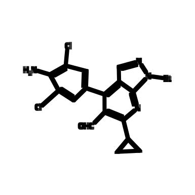 CCn1ncc2c(-c3cc(Cl)c(N)c(Cl)c3)c(C=O)c(C3CC3)nc21